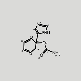 NC(=O)OC1(c2cnc[nH]2)C=CC=CC1